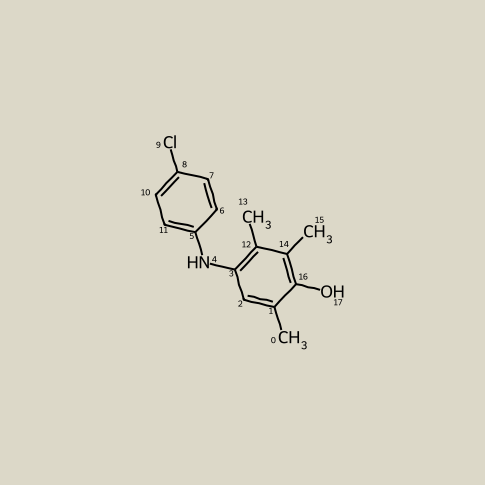 Cc1cc(Nc2ccc(Cl)cc2)c(C)c(C)c1O